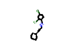 Clc1ccc(/C=N/CC#Cc2ccccc2)c(Cl)c1